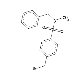 CN(Cc1ccccc1)S(=O)(=O)c1ccc(CBr)cc1